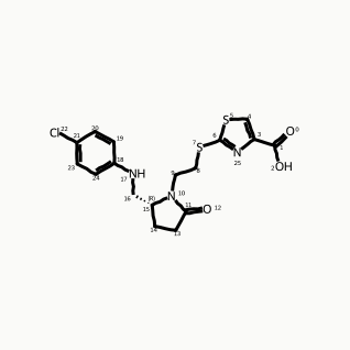 O=C(O)c1csc(SCCN2C(=O)CC[C@@H]2CNc2ccc(Cl)cc2)n1